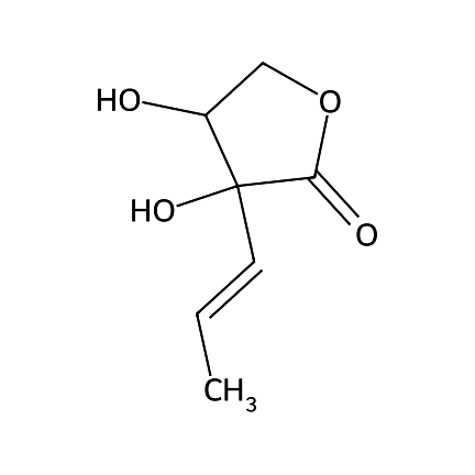 C/C=C/C1(O)C(=O)OCC1O